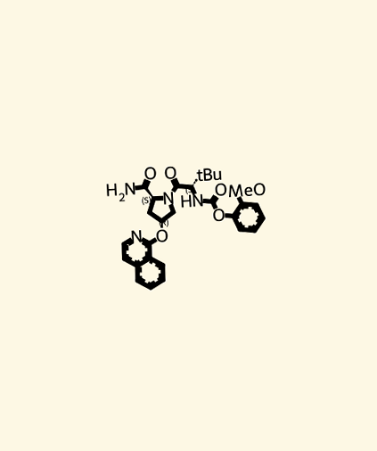 COc1ccccc1OC(=O)N[C@H](C(=O)N1C[C@H](Oc2nccc3ccccc23)C[C@H]1C(N)=O)C(C)(C)C